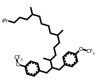 CC(C)CCCC(C)CCCCC(C)CCCC(C)C(Cc1ccc(OC(F)(F)F)cc1)Cc1ccc(OC(F)(F)F)cc1